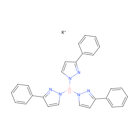 [K+].c1ccc(-c2ccn([BH-](n3ccc(-c4ccccc4)n3)n3ccc(-c4ccccc4)n3)n2)cc1